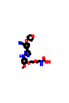 COc1ccc(Nc2nccc(-c3ccc(OC4CCOCC4)c(C#N)c3)n2)cc1OCCOCCNC(=O)O